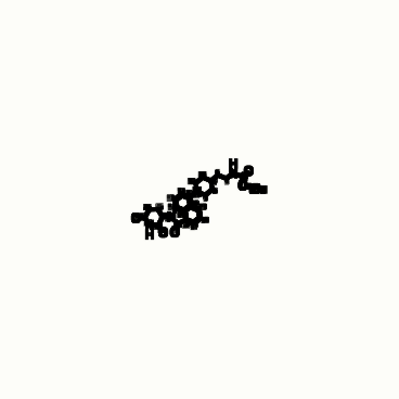 CC(C)(C)OC(=O)NCCC1CCN(c2ccc3c4c(cccc24)C(=O)N3C2CCC(=O)NC2=O)CC1